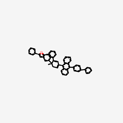 CC1(c2ccc3oc(-c4ccccc4)cc3c2)CC=C(c2c3ccccc3c(-c3ccc(-c4ccccc4)cc3)c3ccccc23)C=C1c1ccccc1